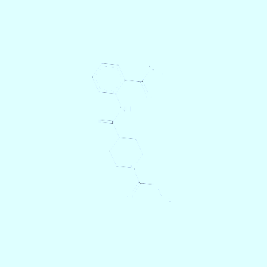 CC(C)(C)OC(=O)N1CCC(C(=O)Nc2ccccc2C(N)=O)CC1